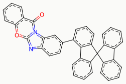 O=c1c2ccccc2oc2nc3ccc(-c4cccc5c4-c4ccccc4C54c5ccccc5-c5ccccc54)cc3n12